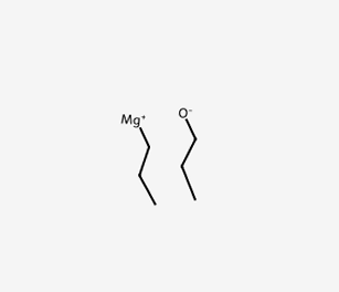 CCC[O-].CC[CH2][Mg+]